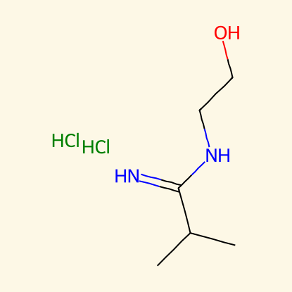 CC(C)C(=N)NCCO.Cl.Cl